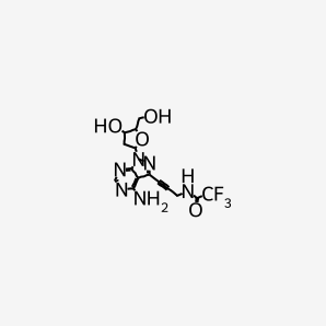 Nc1ncnc2c1c(C#CCNC(=O)C(F)(F)F)nn2C1CC(O)C(CO)O1